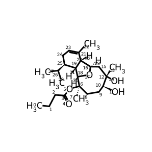 CCCC(=O)O[C@]1(C)CC[C@H](O)[C@@](C)(O)C[C@H]2O[C@@H]1[C@H]1[C@@H]2C(C)=CC[C@@H]1C(C)C